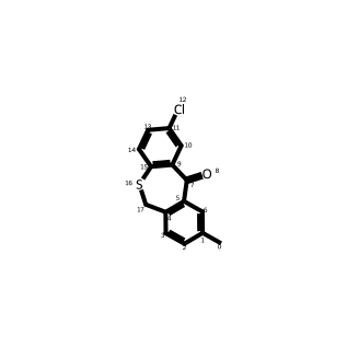 Cc1ccc2c(c1)C(=O)c1cc(Cl)ccc1SC2